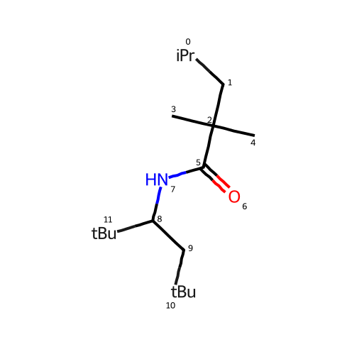 CC(C)CC(C)(C)C(=O)NC(CC(C)(C)C)C(C)(C)C